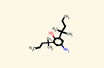 CCCC(C)(C)c1cc(N)cc(C(C)(C)CCC)c1O